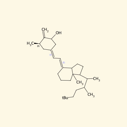 C=C1C(O)C/C(=C\C=C2/CCCC3(C)C2CCC3C(C)C(C)CCC(C)(C)C)C[C@H]1C